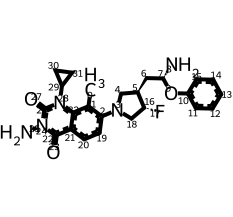 Cc1c(N2C[C@@H](C[C@H](N)Oc3ccccc3)[C@H](F)C2)ccc2c(=O)n(N)c(=O)n(C3CC3)c12